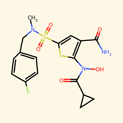 CN(Cc1ccc(F)cc1)S(=O)(=O)c1cc(C(N)=O)c(N(O)C(=O)C2CC2)s1